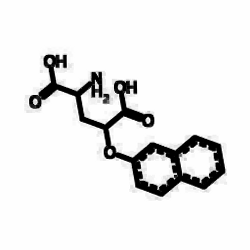 NC(CC(Oc1ccc2ccccc2c1)C(=O)O)C(=O)O